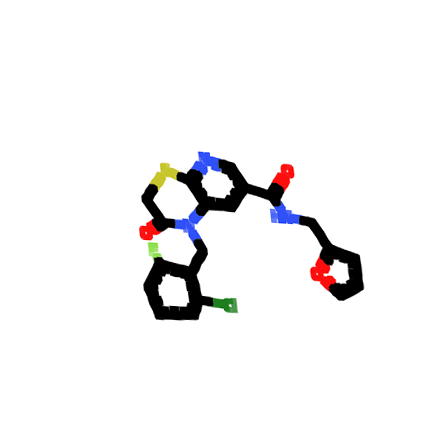 O=C(NCc1ccco1)c1cnc2c(c1)N(Cc1c(F)cccc1Cl)C(=O)CS2